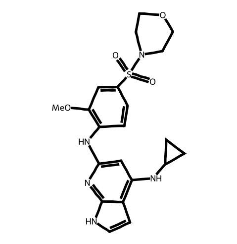 COc1cc(S(=O)(=O)N2CCOCC2)ccc1Nc1cc(NC2CC2)c2cc[nH]c2n1